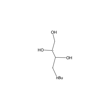 CCCCCC(O)[C](O)CO